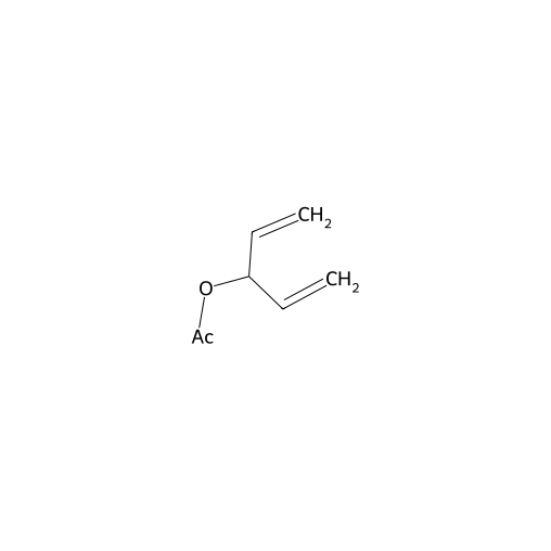 C=CC(C=C)OC(C)=O